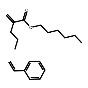 C=C(CCC)C(=O)OCCCCCC.C=Cc1ccccc1